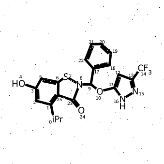 CC(C)c1cc(O)cc2sn(C(Oc3cc(C(F)(F)F)n[nH]3)c3ccccc3)c(=O)c12